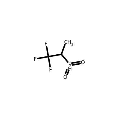 CC([SH](=O)=O)C(F)(F)F